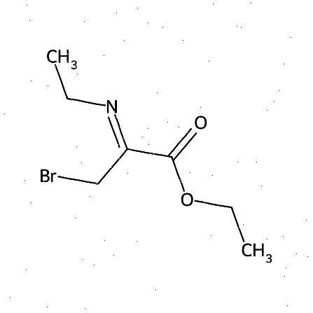 CC/N=C(\CBr)C(=O)OCC